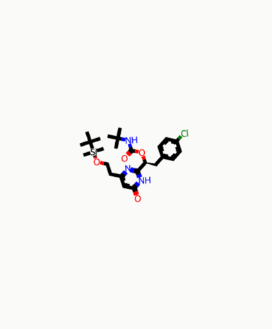 CC(C)(C)NC(=O)O[C@@H](Cc1ccc(Cl)cc1)c1nc(CCO[Si](C)(C)C(C)(C)C)cc(=O)[nH]1